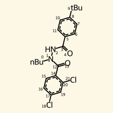 CCCCN(NC(=O)c1ccc(C(C)(C)C)cc1)C(=O)c1ccc(Cl)cc1Cl